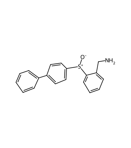 NCc1ccccc1[S+]([O-])c1ccc(-c2ccccc2)cc1